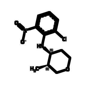 C[C@H]1COCC[C@@H]1Nc1c(Cl)cccc1[N+](=O)[O-]